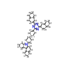 C1=CC(c2ccc(-n3c4ccccc4c4c5ccccc5ccc43)cc2)CC=C1c1nc(-c2ccc3ccccc3c2)nc(-c2ccc3ccccc3c2)n1